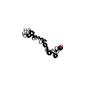 CCN(CCCNCC(O)c1ccc(O)c2[nH]c(=O)ccc12)C(=O)c1ccc(COc2cccc(C(NC(=O)OC3CN4CCC3CC4)c3ccccc3)c2)cc1